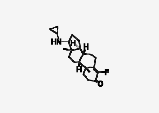 C[C@]12CCC(=O)C(F)=C1CC[C@@H]1[C@H]2CC[C@]2(C)C(NC3CC3)CC[C@@H]12